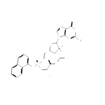 CC(C)[C@H](NP(=O)(OC[C@H]1OC(n2cnc3c(=O)[nH]c(N)nc32)[C@](C)(O)[C@@H]1O)Oc1cccc2ccccc12)C(=O)OCC(C)(C)C